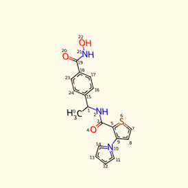 CC(NC(=O)c1sccc1-n1cccc1)c1ccc(C(=O)NO)cc1